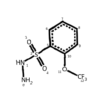 NNS(=O)(=O)c1ccccc1OC(F)(F)F